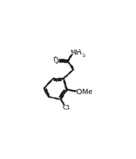 COc1c(Cl)cccc1CC(N)=O